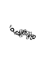 O=C(NCC(NC(=O)c1c(Cl)cc2c(c1Cl)CCN(Cc1ccc(F)cc1)C2)C(=O)O)NC1CCc2ccccc21